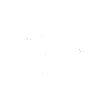 COc1cc(OC(F)(F)F)cc(B(O)O)c1